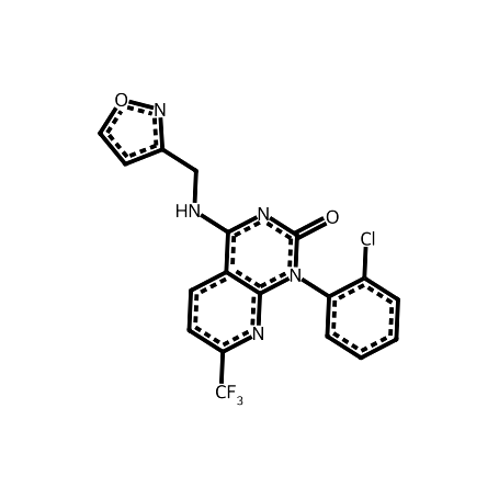 O=c1nc(NCc2ccon2)c2ccc(C(F)(F)F)nc2n1-c1ccccc1Cl